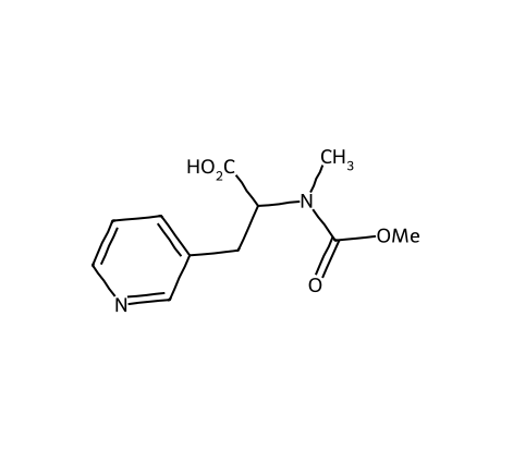 COC(=O)N(C)C(Cc1cccnc1)C(=O)O